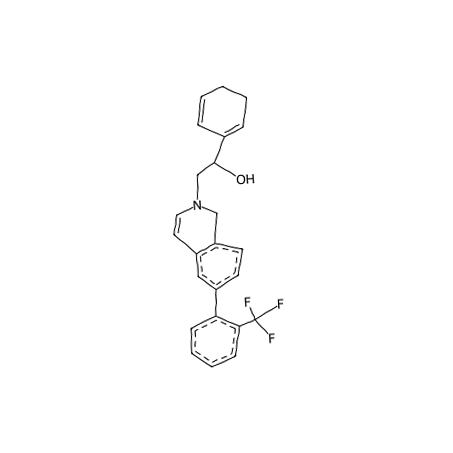 OC(CN1C=Cc2cc(-c3ccccc3C(F)(F)F)ccc2C1)C1=CCCC=C1